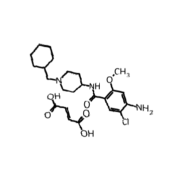 COc1cc(N)c(Cl)cc1C(=O)NC1CCN(CC2CCCCC2)CC1.O=C(O)/C=C/C(=O)O